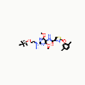 COc1nc(NCCO[Si](C)(C)C(C)(C)C)nc(OC)c1NC(=O)c1csc(Oc2cc(C)ccc2C)n1